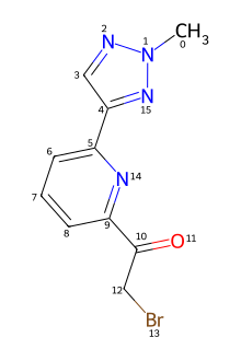 Cn1ncc(-c2cccc(C(=O)CBr)n2)n1